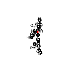 CC(C)Oc1ccccc1[C@@H]1CN([C@H]2COc3ncccc3C2)CCN1C1CC2(CCN(c3ccc(C(=O)NS(=O)(=O)c4cc5c(c([N+](=O)[O-])c4)N[C@H](C4CCOCC4)CO5)c(N4c5cc6cc[nH]c6nc5O[C@H]5COCC[C@@H]54)c3)CC2)C1